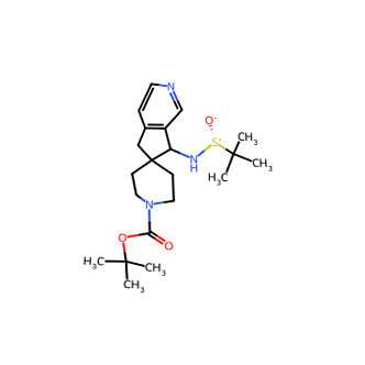 CC(C)(C)OC(=O)N1CCC2(CC1)Cc1ccncc1C2N[S@+]([O-])C(C)(C)C